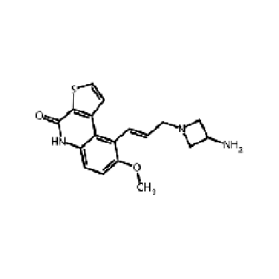 COc1ccc2[nH]c(=O)c3sccc3c2c1/C=C/CN1CC(N)C1